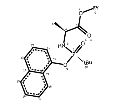 CC(C)OC(=O)[C@H](C)N[P@@](=O)(Oc1cccc2ccccc12)C(C)(C)C